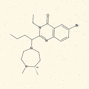 CCCC(c1nc2ccc(Br)cc2c(=O)n1CC)N1CC[C@H](C)N(C)CC1